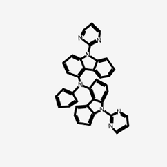 c1ccc(N(c2cccc3c2c2ccccc2n3-c2ncccn2)c2cccc3c2c2ccccc2n3-c2ncccn2)cc1